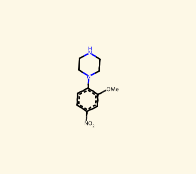 COc1cc([N+](=O)[O-])ccc1N1CCNCC1